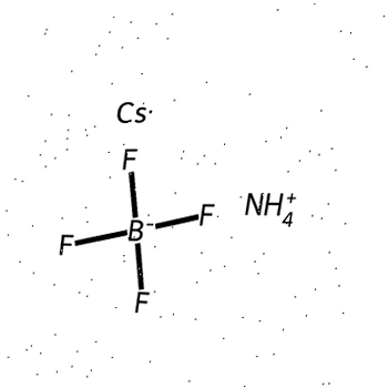 F[B-](F)(F)F.[Cs].[NH4+]